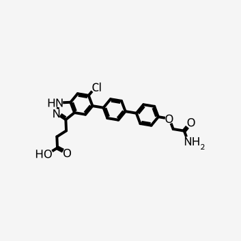 NC(=O)COc1ccc(-c2ccc(-c3cc4c(CCC(=O)O)n[nH]c4cc3Cl)cc2)cc1